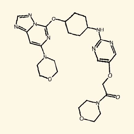 O=C(COc1cnc(NC2CCC(Oc3nc(N4CCOCC4)cc4ncnn34)CC2)nc1)N1CCOCC1